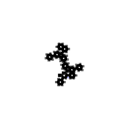 N=C(/C=C(\Nn1c2ccc(-c3ccccc3)cc2c2cc(-c3ccc4c(c3)c3cc(-c5ccccc5)ccc3n4-c3cccc4ccccc34)ccc21)c1ccccc1)c1ccccc1